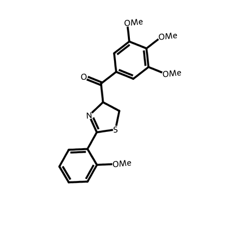 COc1ccccc1C1=NC(C(=O)c2cc(OC)c(OC)c(OC)c2)CS1